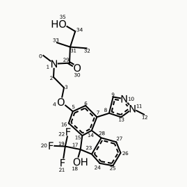 CN(CCOc1cc(-c2cnn(C)c2)c2c(c1)C(O)(C(F)(F)F)c1ccccc1-2)C(=O)C(C)(C)CO